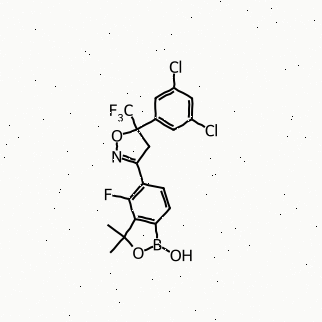 CC1(C)OB(O)c2ccc(C3=NOC(c4cc(Cl)cc(Cl)c4)(C(F)(F)F)C3)c(F)c21